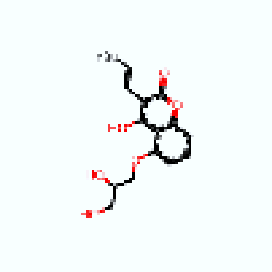 CCCCC=Cc1c(O)c2c(OCC(O)CO)cccc2oc1=O